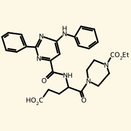 CCOC(=O)N1CCN(C(=O)C(CCC(=O)O)NC(=O)c2cc(Nc3ccccc3)nc(-c3ccccc3)n2)CC1